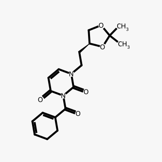 CC1(C)OC[C@H](CCn2ccc(=O)n(C(=O)C3=CC=CCC3)c2=O)O1